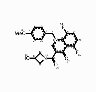 COc1ccc(Cn2cc(C(=O)N3CC(O)C3)c(=O)c3c(F)ccc(F)c32)cc1